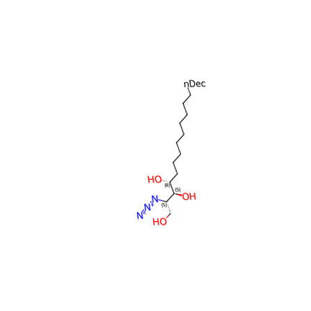 CCCCCCCCCCCCCCCCCCC[C@@H](O)[C@@H](O)[C@H](CO)N=[N+]=[N-]